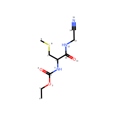 CCOC(=O)NC(CSC)C(=O)NCC#N